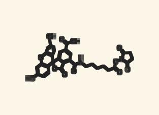 O=C(CCCCCNC(=O)c1cc(C(=O)O)cc2c1C(=O)OC21c2ccc(O)cc2Oc2cc(O)ccc21)ON1C(=O)CCC1=O